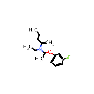 C=C(CCC)N(CC)C(C)Oc1cccc(F)c1